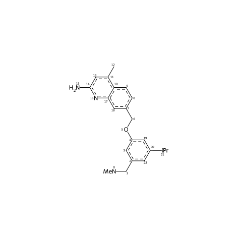 CNCc1cc(OCc2ccc3c(C)cc(N)nc3c2)cc(C(C)C)c1